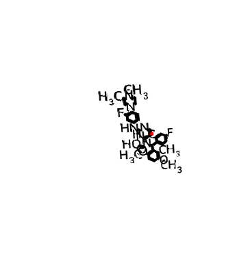 COc1ccc(OC)c(C(c2c(C)cc(F)cc2C)N(C(=O)O)c2ccnc(Nc3ccc(N4CCN(C)C(C)C4)c(F)c3)n2)c1